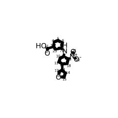 O=C(O)c1cccc(Nc2ccc(-c3ccoc3)cc2[N+](=O)[O-])c1